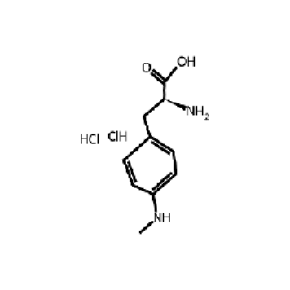 CNc1ccc(C[C@H](N)C(=O)O)cc1.Cl.Cl